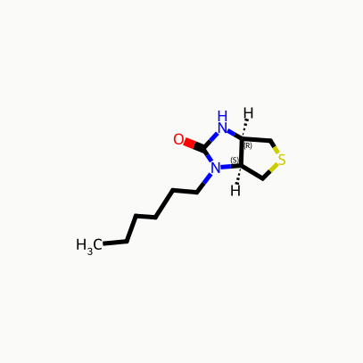 CCCCCCN1C(=O)N[C@H]2CSC[C@H]21